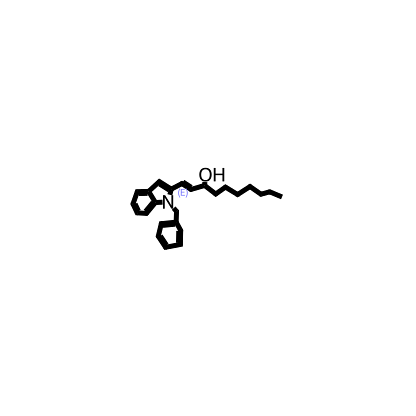 CCCCCCCC(O)/C=C/c1cc2ccccc2n1Cc1ccccc1